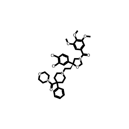 COc1cc(C(=O)N2CO[C@](CCN3CCC(C(=O)N4CCOCC4)(c4ccccc4)CC3)(c3ccc(Cl)c(Cl)c3)C2)cc(OC)c1OC